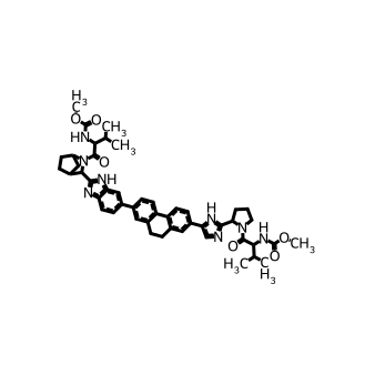 COC(=O)NC(C(=O)N1CCCC1c1ncc(-c2ccc3c(c2)CCc2cc(-c4ccc5nc(C6C7CCC(C7)N6C(=O)C(NC(=O)OC)C(C)C)[nH]c5c4)ccc2-3)[nH]1)C(C)C